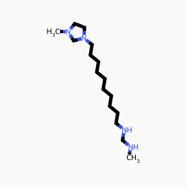 CNCNCCCCCCCCCCN1CCN(C)C1